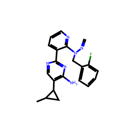 C=NN(Cc1ccccc1F)c1ncccc1-c1ncc(C2CC2C)c(N)n1